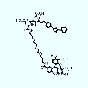 N=c1ccc2c(-c3cc(C(=O)NCCCOCCOCCOCCCNC(=O)[C@H](CCC(=O)O)NC(=O)[C@H](CCC(=O)O)NC(=O)CCc4ccc(-c5cc(-c6ccccc6)cs5)cc4)ccc3C(=O)O)c3ccc(N)c(S(=O)(=O)O)c3oc-2c1S(=O)(=O)O